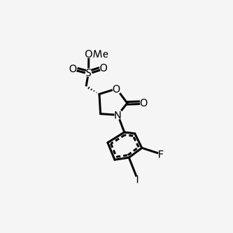 COS(=O)(=O)C[C@H]1CN(c2ccc(I)c(F)c2)C(=O)O1